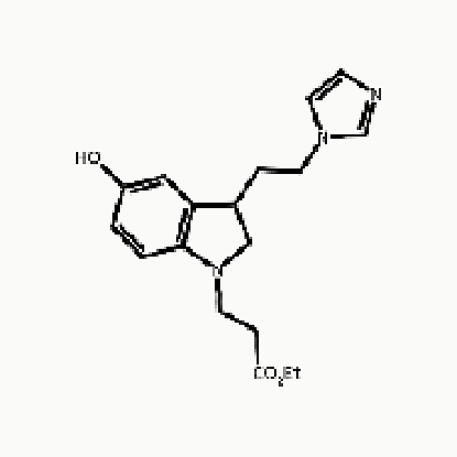 CCOC(=O)CCN1CC(CCn2ccnc2)c2cc(O)ccc21